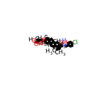 CC(C)C1=C2[C@H]3CC[C@@H]4[C@@]5(C)CC[C@H](OC(=O)CC(C)(C)C(=O)O)C6(C)C[C@]65CC[C@@]4(C)[C@]3(C)CC[C@@]2([C@H](O)CNCc2ccc(Cl)cc2)CC1